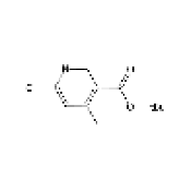 Cc1cc(Cl)ncc1C(=O)OC(C)(C)C